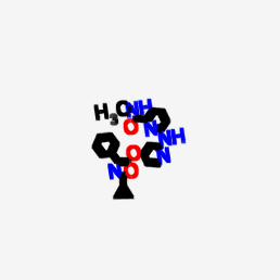 CNC(=O)c1cccc(Nc2cc(Oc3oc(C4CC4)nc3-c3ccccc3)ccn2)n1